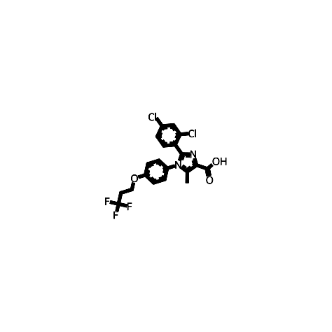 Cc1c(C(=O)O)nc(-c2ccc(Cl)cc2Cl)n1-c1ccc(OCCC(F)(F)F)cc1